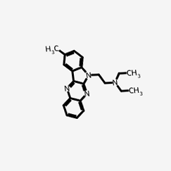 CCN(CC)CCn1c2ccc(C)cc2c2nc3ccccc3nc21